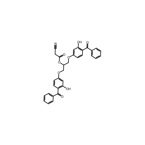 N#CCC(=O)OC(COc1ccc(C(=O)c2ccccc2)c(O)c1)COc1ccc(C(=O)c2ccccc2)c(O)c1